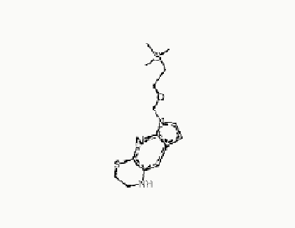 C[Si](C)(C)CCOCn1ccc2cc3c(nc21)SCCN3